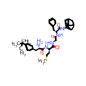 CSCC[C@@H](NC(=O)[C@@H](N)Cc1ccc(C(C)(C)C)cc1)C(=O)NCC(=O)N[C@@H](Cc1ccccc1)C(=O)NC1C2CC3CC(C2)CC1C3